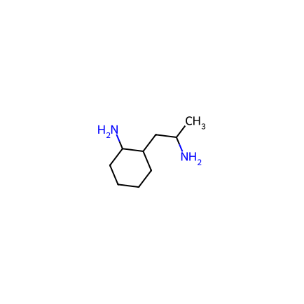 CC(N)CC1CCCCC1N